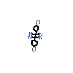 N#CC(C#N)(c1ccc(Cl)cc1)C(C#N)(C#N)c1ccc(Cl)cc1